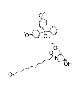 COc1ccc(C(OCCCOC[C@@H]2C[C@@H](O)CN2C(=O)CCCCCCCCCCC=O)(c2ccccc2)c2ccc(OC)cc2)cc1